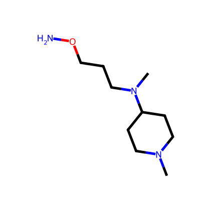 CN1CCC(N(C)CCCON)CC1